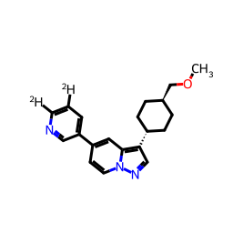 [2H]c1cc(-c2ccn3ncc([C@H]4CC[C@H](COC)CC4)c3c2)cnc1[2H]